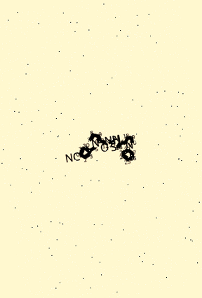 N#Cc1ccc(Cn2cccc2C(=O)Nc2nc(C3CCCN3c3ccccc3)cs2)cc1